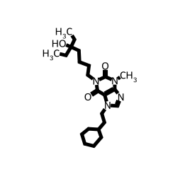 CCC(O)(CC)CCCCn1c(=O)c2c(ncn2CCC2CCCCC2)n(C)c1=O